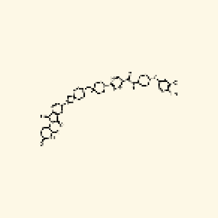 N#Cc1ccc(O[C@H]2CC[C@H](NC(=O)c3cnc(N4CCC(F)(CN5CCC6(CC5)CN(c5ccc7c(c5)C(=O)N(C5CCC(=O)NC5=O)C7=O)C6)CC4)nn3)CC2)cc1Cl